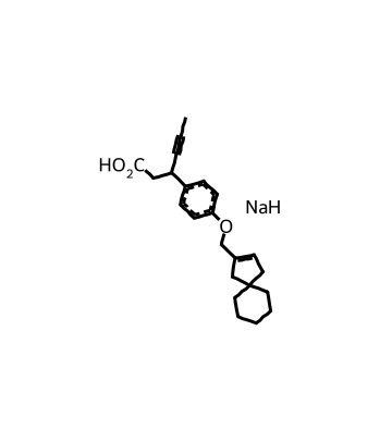 CC#CC(CC(=O)O)c1ccc(OCC2=CCC3(CCCCC3)C2)cc1.[NaH]